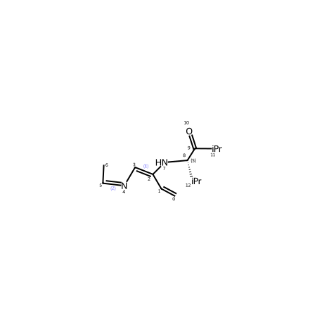 C=C/C(=C\N=C/C)N[C@H](C(=O)C(C)C)C(C)C